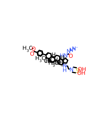 COC(=O)c1ccc(C2=CC[C@]3(C)[C@H]4CC[C@@H]5[C@H]6[C@H](NC(=O)N=[N+]=[N-])CC[C@]6(NCCN6CCS(O)(O)CC6)CC[C@@]5(C)[C@]4(C)CC[C@H]3C2(C)C)cc1